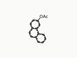 CC(=O)Oc1ccc2ccc3ccccc3c2c1